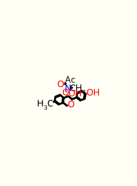 CC(=O)C(=O)N(C)OC1(O)c2ccc(C)cc2COC1c1ccc(O)cc1